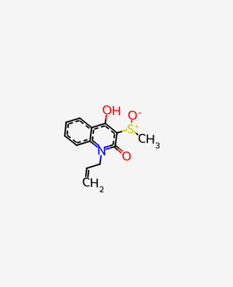 C=CCn1c(=O)c([S+](C)[O-])c(O)c2ccccc21